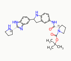 CC(C)(C)OC(=O)N1CCC[C@H]1C(=O)Nc1ccc2c(c1)CC(c1ccc3[nH]c([C@@H]4CCCN4)nc3c1)N2